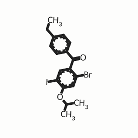 CCc1ccc(C(=O)c2cc(I)c(OC(C)C)cc2Br)cc1